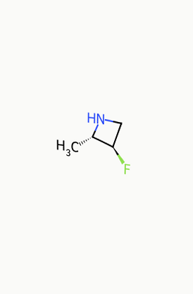 C[C@@H]1NC[C@H]1F